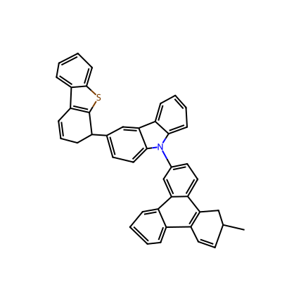 CC1C=Cc2c(c3ccc(-n4c5ccccc5c5cc(C6CC=Cc7c6sc6ccccc76)ccc54)cc3c3ccccc23)C1